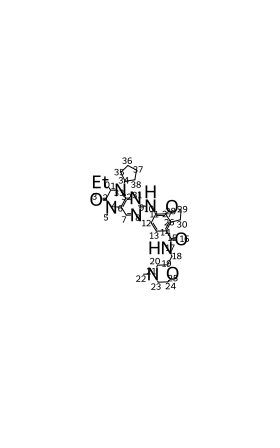 CCC1C(=O)N(C)c2cnc(Nc3ccc(C(=O)NCC4CN(C)CCO4)c4c3OCC4)nc2N1C1CCCC1